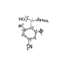 CCCCCCC(C(=O)O)c1c(Br)cc(C#N)cc1Br